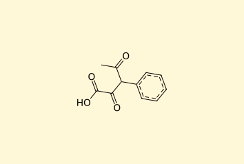 CC(=O)C(C(=O)C(=O)O)c1ccccc1